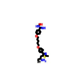 Cc1nc(-c2ccc(OCCCCCOc3ccc(C(=N)NO)cc3)cc2)c(CC(N)CC(C)C)s1